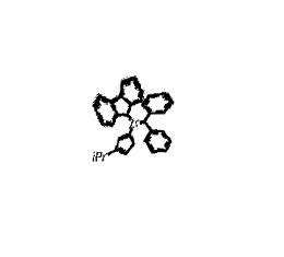 CC(C)C1=CC[C]([Zr](=[C](c2ccccc2)c2ccccc2)[CH]2c3ccccc3-c3ccccc32)=C1